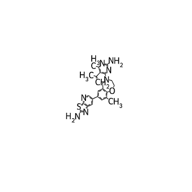 C=C(C)c1c(C)nc(N)nc1N1CCOc2c(C)cc(-c3cnc4sc(N)nc4c3)cc2C1